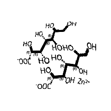 O=C([O-])[C@H](O)[C@@H](O)[C@H](O)[C@H](O)C(O)CO.O=C([O-])[C@H](O)[C@@H](O)[C@H](O)[C@H](O)C(O)CO.[Zn+2]